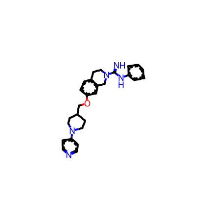 N=C(Nc1ccccc1)N1CCc2ccc(OCC3CCN(c4ccncc4)CC3)cc2C1